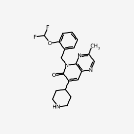 Cc1cnc2cc(C3CCNCC3)c(=O)n(Cc3ccccc3OC(F)F)c2n1